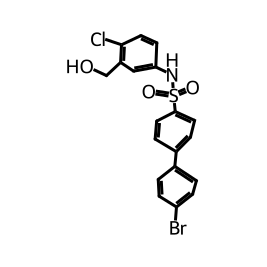 O=S(=O)(Nc1ccc(Cl)c(CO)c1)c1ccc(-c2ccc(Br)cc2)cc1